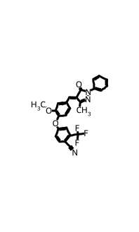 COc1cc(C=C2C(=O)N(c3ccccc3)N=C2C)ccc1Oc1ccc(C#N)c(C(F)(F)F)c1